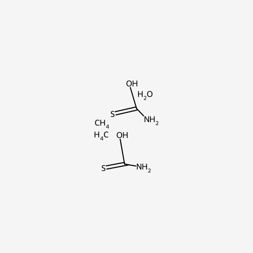 C.C.NC(O)=S.NC(O)=S.O